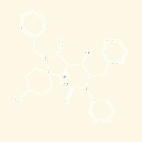 CC1CCC2(CC1)N[C@@H]([C@H](O)[C@H](Cc1ccccc1)N(C(=O)O)c1ccccc1)C(=O)N2Cc1ccccc1